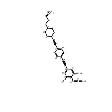 C=CCCC1CCC(C#Cc2ccc(C#Cc3cc(F)c(N=C=S)c(F)c3)cc2)CC1